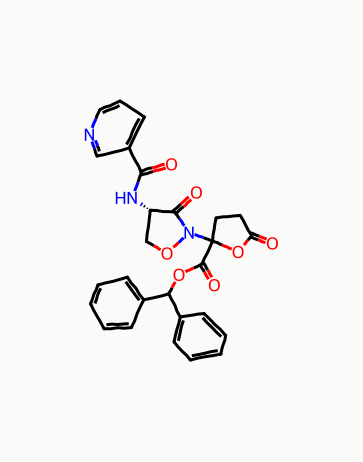 O=C1CCC(C(=O)OC(c2ccccc2)c2ccccc2)(N2OC[C@H](NC(=O)c3cccnc3)C2=O)O1